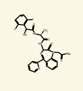 C[C@H](NC(=O)C(O)c1c(F)cccc1F)C(=O)NC1N=C(c2ccccn2)c2ccccc2N(CC(=O)C(C)(C)C)C1=O